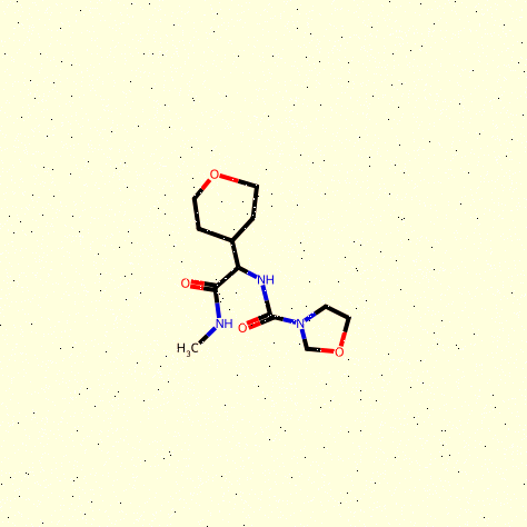 CNC(=O)C(NC(=O)N1CCOC1)C1CCOCC1